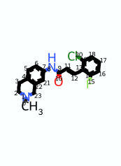 CN1CCc2ccc(NC(=O)/C=C/c3c(F)cccc3Cl)cc2C1